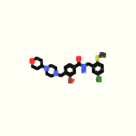 CCSc1ccc(Cl)cc1CNC(=O)c1ccc(CN2CCN(C3CCOCC3)CC2)c(Br)c1